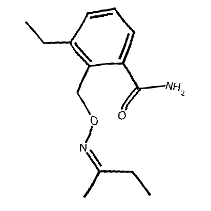 CCC(C)=NOCc1c(CC)cccc1C(N)=O